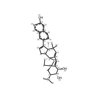 CN(C)[C@H]1C[C@@]23CC[C@@]4(O2)C(=CC(C)(C)[C@]2(C)C(c5ccc6cc(O)ncc6c5)=CCC42)C=C3[C@@H](O)[C@@H]1O